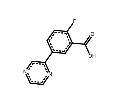 O=C(O)c1cc(-c2cnccn2)ccc1F